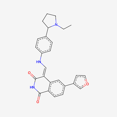 CCN1CCCC1c1ccc(N/C=C2\C(=O)NC(=O)c3ccc(-c4ccoc4)cc32)cc1